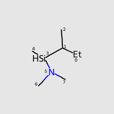 CCC(C)[SiH](C)N(C)C